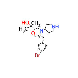 CC(C)(O)C1CN(C2CCNCC2)[C@@H](Cc2ccc(Br)cc2)CO1